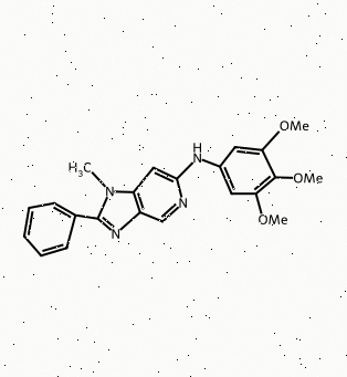 COc1cc(Nc2cc3c(cn2)nc(-c2ccccc2)n3C)cc(OC)c1OC